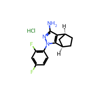 Cl.Nc1nn(-c2ccc(F)cc2F)c2c1[C@H]1CC[C@@H]2C1